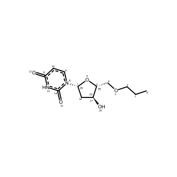 CCCOC[C@H]1O[C@@H](n2ccc(=O)[nH]c2=O)C[C@@H]1O